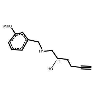 C#CC[CH][C@H](O)CNCc1cccc(OC)c1